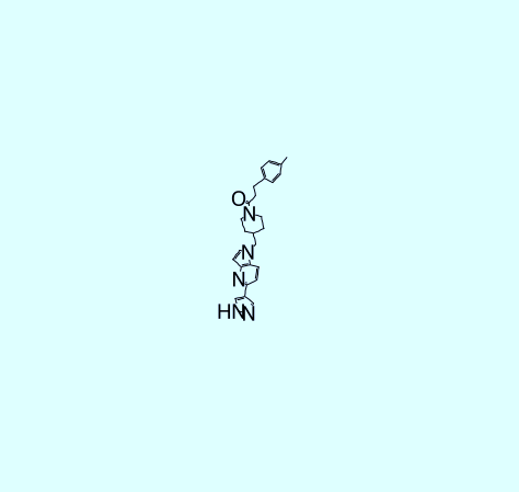 Cc1ccc(CCC(=O)N2CCC(Cn3ccc4nc(-c5cn[nH]c5)ccc43)CC2)cc1